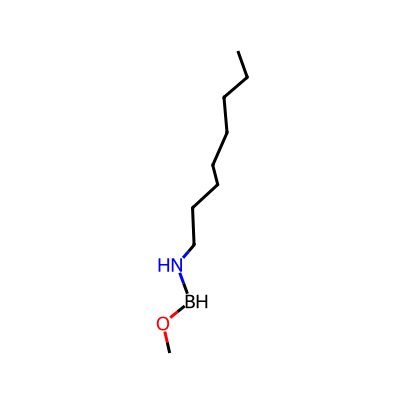 CCCCCCCCNBOC